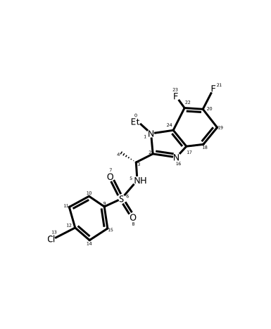 CCn1c([C@@H](C)NS(=O)(=O)c2ccc(Cl)cc2)nc2ccc(F)c(F)c21